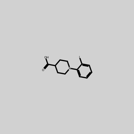 O=C(O)C1CCN(c2ccccc2I)CC1